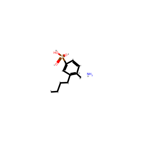 CCCCc1cc(S(=O)(=O)O)ccc1C.N